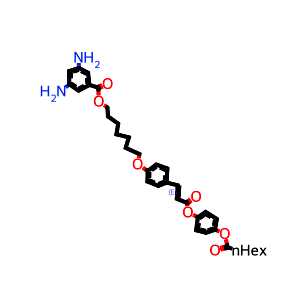 CCCCCCC(=O)Oc1ccc(OC(=O)/C=C/c2ccc(OCCCCCCCOC(=O)c3cc(N)cc(N)c3)cc2)cc1